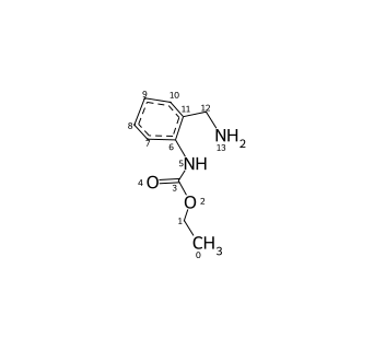 CCOC(=O)Nc1ccccc1CN